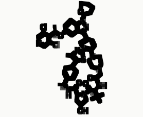 Cc1ncsc1-c1ccc([C@H](C)NC(=O)C2CC(O)CN2C(=O)[C@@H](NC(=O)CN2CCN(c3ccc(-c4nn(C5CCCCO5)c5ccc(O[C@H](C)c6c(Cl)cncc6Cl)cc45)cn3)CC2)C(C)(C)C)cc1